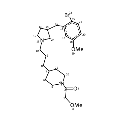 COCC(=O)N1CCC(CCCN2CCC(Cc3cc(OC)ccc3Br)C2)CC1